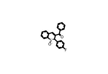 O=C(C1=Cc2ccccc2[S+]([O-])C1c1ccc(F)cc1)c1ccccc1